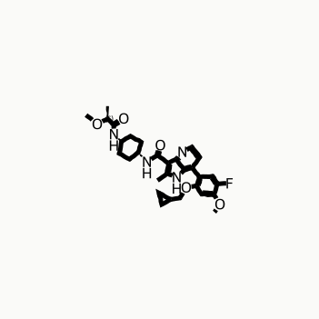 COc1cc(OCC2CC2)c(-c2ccnc3c(C(=O)N[C@H]4CC[C@@H](NC(=O)[C@H](C)OC)CC4)c(C)[nH]c23)cc1F